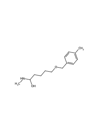 CNC(O)CCCCOCc1ccc(C)cc1